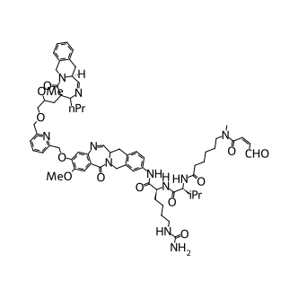 CCCC1N=C[C@@H]2Cc3ccccc3CN2C(=O)C1CC(COCc1cccc(COc2cc3c(cc2OC)C(=O)N2Cc4cc(NC(=O)[C@H](CCCCNC(N)=O)NC(=O)[C@@H](NC(=O)CCCCCN(C)C(=O)/C=C\C=O)C(C)C)ccc4CC2C=N3)n1)OC